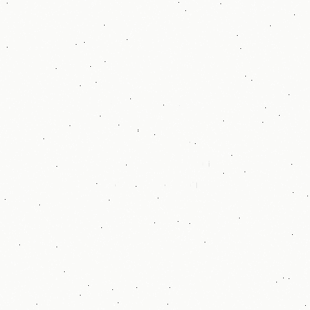 [CH2]c1c2c(c(OC)c(OC)c1OC)CCO2